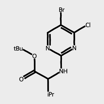 CC(C)C(Nc1ncc(Br)c(Cl)n1)C(=O)OC(C)(C)C